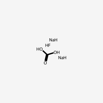 F.O=C(O)O.[NaH].[NaH]